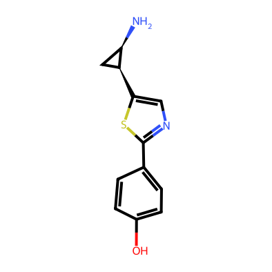 N[C@@H]1C[C@@H]1c1cnc(-c2ccc(O)cc2)s1